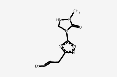 CC/C=C/Cc1nnc(N2CNN(C)C2=O)s1